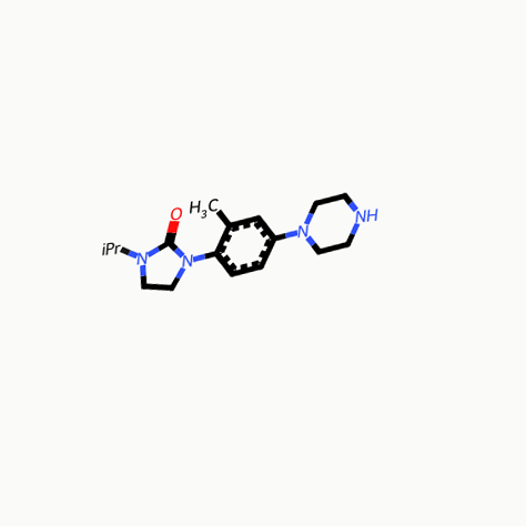 Cc1cc(N2CCNCC2)ccc1N1CCN(C(C)C)C1=O